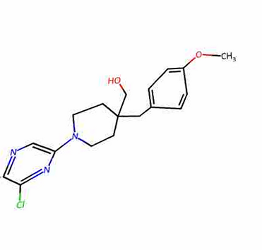 COc1ccc(CC2(CO)CCN(c3cn[c]c(Cl)n3)CC2)cc1